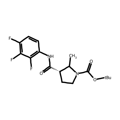 CC1[C@@H](C(=O)Nc2ccc(F)c(F)c2F)CCN1C(=O)OC(C)(C)C